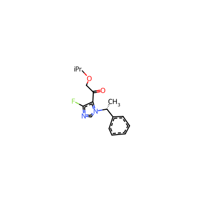 CC(C)OCC(=O)c1c(F)ncn1[C@H](C)c1ccccc1